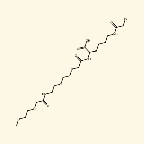 COCCOCC(=O)NCCOCCOCC(=O)N[C@H](CCCCNC(=O)CBr)C(=O)O